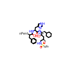 CCCCCC(Cc1ccccc1)C(=O)NC(Cc1c[nH]cn1)C(=O)N[C@@H](CC1CCCCC1)[C@@H](O)C[C@@H](C)CNS(=O)(=O)CCC